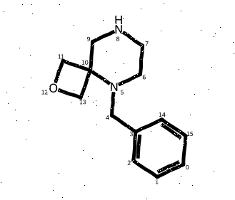 c1ccc(CN2CCNCC23COC3)cc1